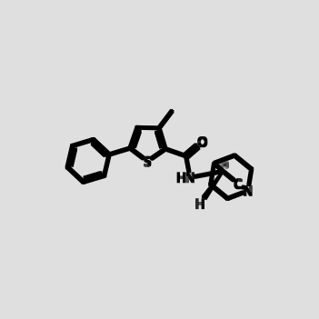 Cc1cc(-c2ccccc2)sc1C(=O)N[C@H]1CN2CCC1CC2